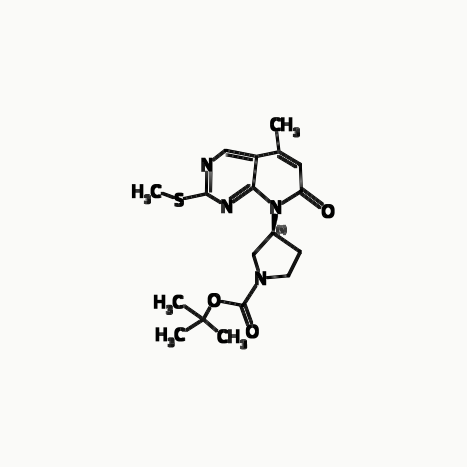 CSc1ncc2c(C)cc(=O)n([C@H]3CCN(C(=O)OC(C)(C)C)C3)c2n1